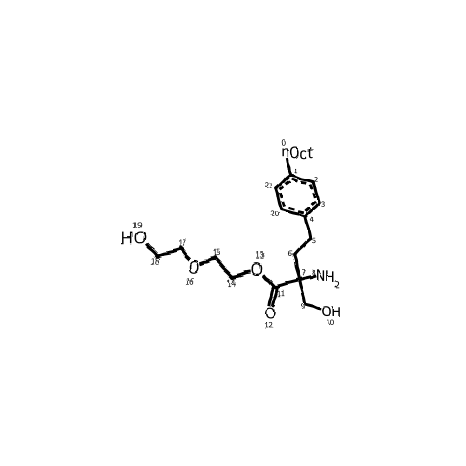 CCCCCCCCc1ccc(CCC(N)(CO)C(=O)OCCOCCO)cc1